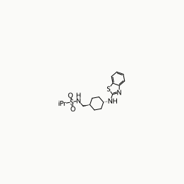 CC(C)S(=O)(=O)NC[C@H]1CC[C@H](Nc2nc3ccccc3s2)CC1